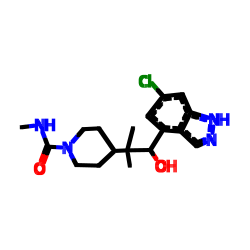 CNC(=O)N1CCC(C(C)(C)C(O)c2cc(Cl)cc3[nH]ncc23)CC1